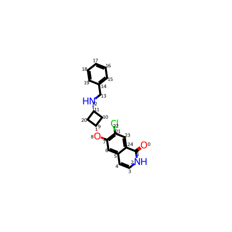 O=c1[nH]ccc2cc(O[C@H]3C[C@@H](NCc4ccccc4)C3)c(Cl)cc12